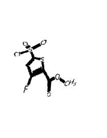 COC(=O)c1sc(S(=O)(=O)Cl)cc1F